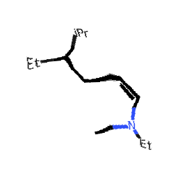 CCC(C/C=C\N(C)CC)C(C)C